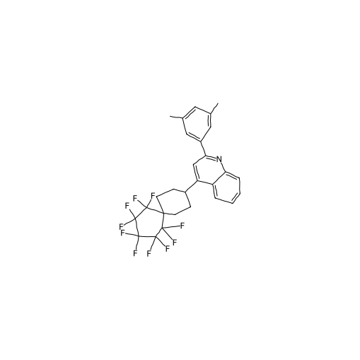 Cc1cc(C)cc(-c2cc(C3CCC4(CC3)C(F)(F)C(F)(F)C(F)(F)C(F)(F)C4(F)F)c3ccccc3n2)c1